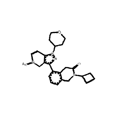 CC(=O)N1CCc2c(c(-c3cccc4c3CC(=O)N(C3CCC3)C4)nn2C2CCOCC2)C1